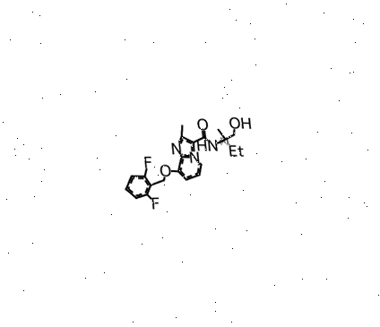 CC[C@](C)(CO)NC(=O)c1c(C)nc2c(OCc3c(F)cccc3F)cccn12